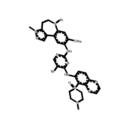 COc1cc2c(cc1Nc1ncc(Br)c(Nc3ccc4nccnc4c3P3(=O)CCN(C)CC3)n1)-c1cnn(C)c1CCN2C(C)C